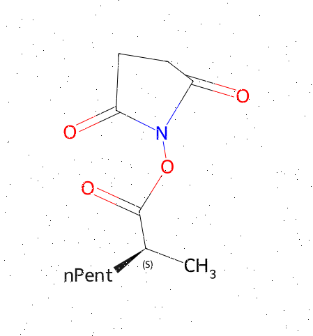 CCCCC[C@H](C)C(=O)ON1C(=O)CCC1=O